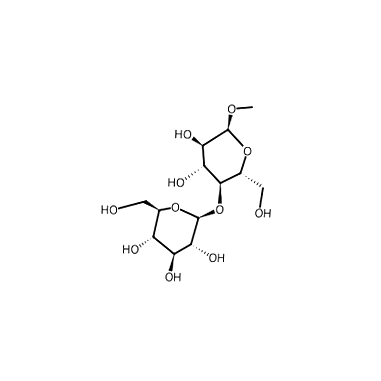 CO[C@H]1O[C@H](CO)[C@@H](O[C@@H]2O[C@H](CO)[C@@H](O)[C@H](O)[C@H]2O)[C@H](O)[C@H]1O